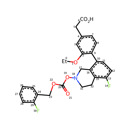 CCOc1cc(CC(=O)O)ccc1-c1ccc(F)c2c1CN(OC(=O)OCc1ccccc1F)CC2